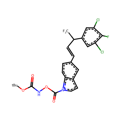 CC(C)(C)OC(=O)NOC(=O)n1ccc2cc(/C=C/C(c3cc(Cl)c(F)c(Cl)c3)C(F)(F)F)ccc21